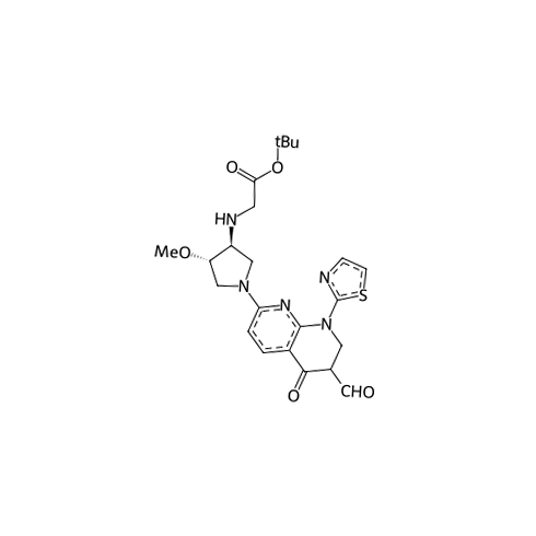 CO[C@H]1CN(c2ccc3c(n2)N(c2nccs2)CC(C=O)C3=O)C[C@@H]1NCC(=O)OC(C)(C)C